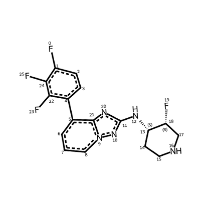 Fc1ccc(-c2cccn3nc(N[C@H]4CCNC[C@H]4F)nc23)c(F)c1F